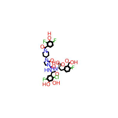 O=C(O)c1c(F)ccc2c1OB(O)[C@@H](NC(=O)[C@H](NC(=O)N1CCN(C3CCN(C(=O)c4ccc(F)c(O)c4F)CC3)C1=O)c1cc(F)c(O)c(O)c1Cl)C2